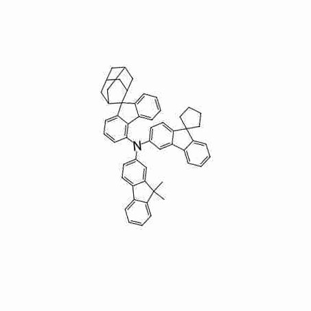 CC1(C)c2ccccc2-c2ccc(N(c3ccc4c(c3)-c3ccccc3C43CCCC3)c3cccc4c3-c3ccccc3C43C4CC5CC(C4)CC3C5)cc21